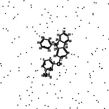 Nc1cccc(Oc2ccc3c4ccccc4n(-c4ccccc4)c3c2)n1